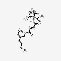 CCCCC(CC)COC(=O)N=NC(=O)O[Si](C(C)C)(C(C)C)C(C)C